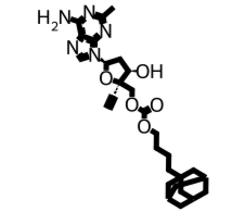 C#C[C@]1(COC(=O)OCCCCC23CC4CC(CC(C4)C2)C3)O[C@@H](n2cnc3c(N)nc(C)nc32)C[C@@H]1O